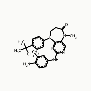 Cc1cc(Nc2ncc3c(n2)N(c2ccc(C(C)(C)C)cc2)CCC(=O)N3C)ccc1N